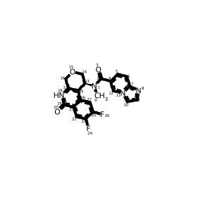 CN(C(=O)c1ccc2nccn2c1)[C@@H]1COCc2[nH]c(=O)c3cc(F)c(F)cc3c21